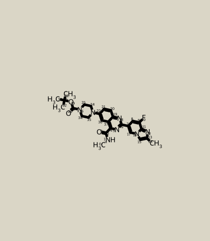 CNC(=O)c1nc(-c2cc(F)c3nc(C)cn3c2)nc2ccc(N3CCN(C(=O)OC(C)(C)C)CC3)cc12